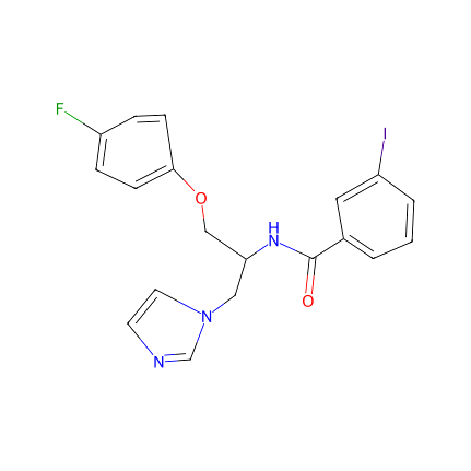 O=C(NC(COc1ccc(F)cc1)Cn1ccnc1)c1cccc(I)c1